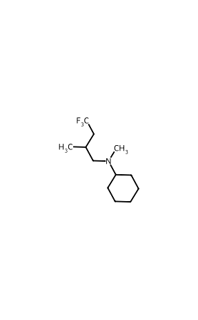 CC(CN(C)C1CCCCC1)CC(F)(F)F